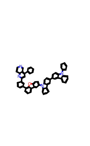 c1ccc(-c2cc(-c3cccc(-c4cccc5c4oc4ccc(-n6c7ccccc7c7cc(-c8ccc9c(c8)c8ccccc8n9-c8ccccc8)ccc76)cc45)c3)nc3ccncc23)cc1